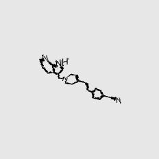 N#Cc1ccc(/C=C/C2=CCN(Cc3c[nH]c4ncccc34)CC2)cc1